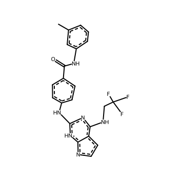 Cc1cccc(NC(=O)c2ccc(Nc3nc(NCC(F)(F)F)c4ccnc-4[nH]3)cc2)c1